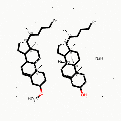 CC(C)CCC[C@@H](C)[C@H]1CCC2C3CC=C4CC(OS(=O)(=O)O)CC[C@]4(C)C3CC[C@@]21C.CC(C)CCC[C@@H](C)[C@H]1CCC2[C@H]3CC=C4CC(O)CC[C@]4(C)[C@@H]3CC[C@@]21C.[NaH]